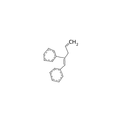 C=CC/C(=C/c1ccccc1)c1ccccc1